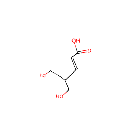 O=C(O)C=CC(CO)CO